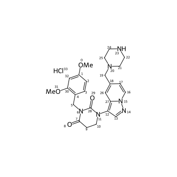 COc1ccc(CN2C(=O)CCN(c3cnn4ccc(CN5CCNCC5)cc34)C2=O)c(OC)c1.Cl